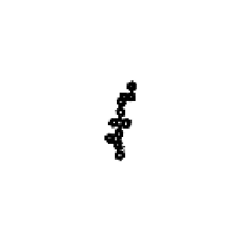 c1ccc(-c2cccc3c2ccc2ccc(-c4ccc(-c5c6ccccc6c(-c6ccc7c(c6)c6ccccc6c6cc8c(cc76)sc6ccccc68)c6ccccc56)cc4)cc23)cc1